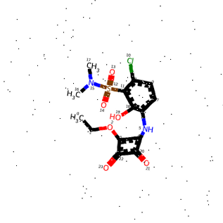 CCOc1c(Nc2ccc(Cl)c(S(=O)(=O)N(C)C)c2O)c(=O)c1=O